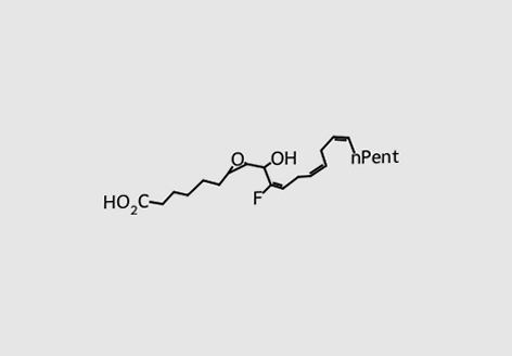 CCCCC/C=C\C/C=C\C/C=C(/F)C(O)C1OC1CCCCCC(=O)O